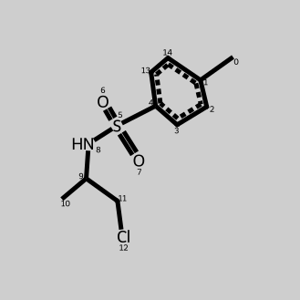 Cc1ccc(S(=O)(=O)NC(C)CCl)cc1